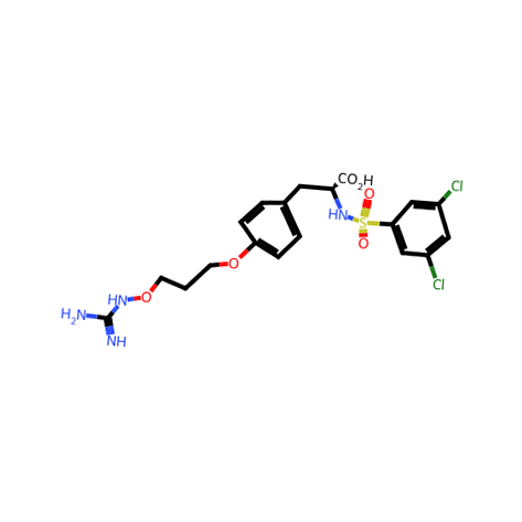 N=C(N)NOCCCOc1ccc(C[C@H](NS(=O)(=O)c2cc(Cl)cc(Cl)c2)C(=O)O)cc1